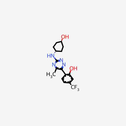 Cc1nc(N[C@H]2CC[C@H](O)CC2)nnc1-c1ccc(C(F)(F)F)cc1O